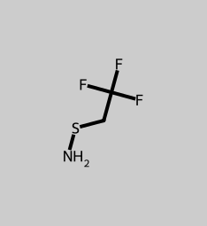 NSCC(F)(F)F